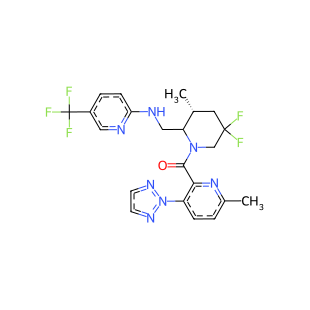 Cc1ccc(-n2nccn2)c(C(=O)N2CC(F)(F)C[C@@H](C)C2CNc2ccc(C(F)(F)F)cn2)n1